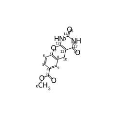 COC(=O)c1ccc2c(c1)Cc1c([nH]c(=O)[nH]c1=O)O2